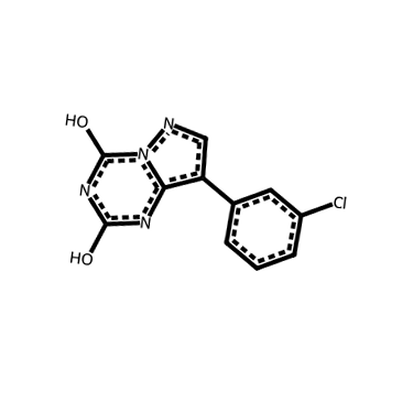 Oc1nc(O)n2ncc(-c3cccc(Cl)c3)c2n1